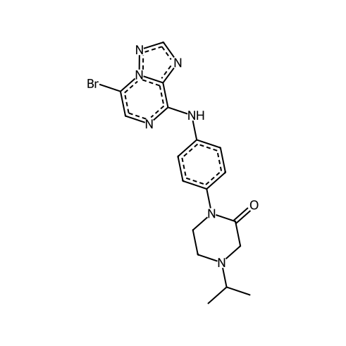 CC(C)N1CCN(c2ccc(Nc3ncc(Br)n4ncnc34)cc2)C(=O)C1